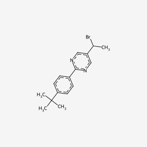 CC(Br)c1cnc(-c2ccc(C(C)(C)C)cc2)nc1